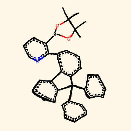 CC1(C)OB(c2cccnc2-c2cccc3c2-c2ccccc2C3(c2ccccc2)c2ccccc2)OC1(C)C